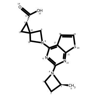 C[C@H]1CCN1c1nc(N2CC3(C[C@@H]3C(=O)O)C2)c2ccsc2n1